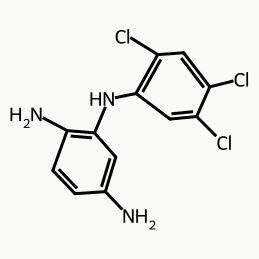 Nc1ccc(N)c(Nc2cc(Cl)c(Cl)cc2Cl)c1